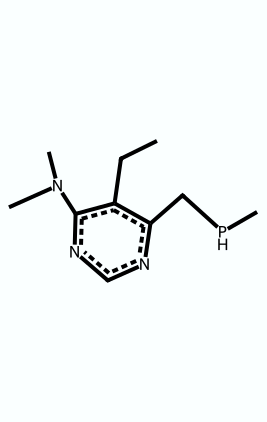 CCc1c(CPC)ncnc1N(C)C